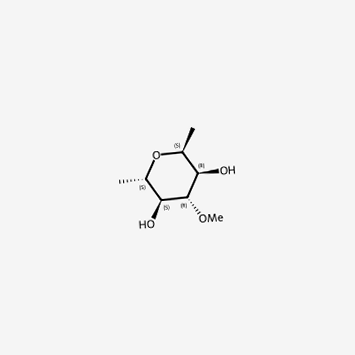 CO[C@@H]1[C@@H](O)[C@H](C)O[C@@H](C)[C@H]1O